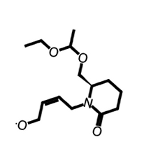 CCOC(C)OC[C@H]1CCCC(=O)N1C/C=C\C[O]